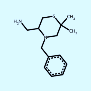 CC1(C)CN(Cc2ccccc2)C(CN)CS1